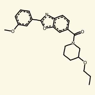 CCCOC1CCCN(C(=O)c2ccc3nc(-c4cccc(OC)c4)oc3c2)C1